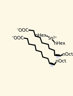 CCCCCCCC/C=C\CCCCCCCC(=O)[O-].CCCCCCCC/C=C\CCCCCCCC(=O)[O-].CCCCC[CH2][Sn+2][CH2]CCCCC